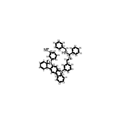 CC12C=CC=CC1c1cc3c4ccccc4n(-c4cccc(/C=N/C(NCc5ccccc5)c5ccccc5)c4)c3cc1N2c1cccc(C#N)c1